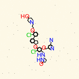 N#Cc1cncc(COc2cc(O[C@H]3CCc4c(-c5cccc(OCCCN6CCC(O)CC6)c5Cl)cccc43)c(Cl)cc2CNC[C@@H]2CCC(=O)N2)c1